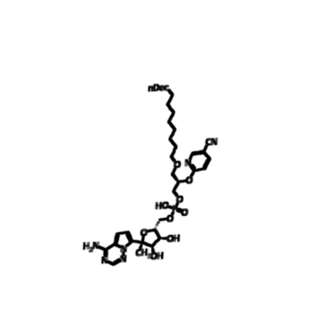 CCCCCCCCCCCCCCCCCCOC[C@H](COP(=O)(O)OC[C@H]1O[C@@](C)(c2ccc3c(N)ncnn23)[C@H](O)[C@@H]1O)Oc1ccc(C#N)cn1